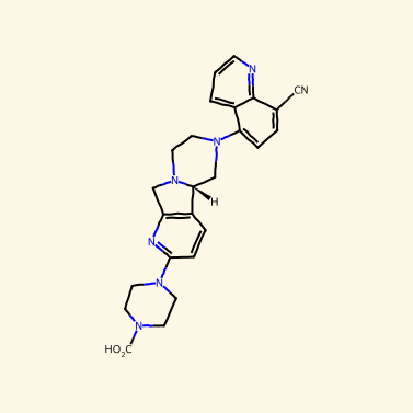 N#Cc1ccc(N2CCN3Cc4nc(N5CCN(C(=O)O)CC5)ccc4[C@H]3C2)c2cccnc12